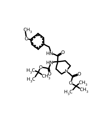 COc1ccc(CNC(=O)C2(NC(=O)OC(C)(C)C)CCN(C(=O)OC(C)(C)C)CC2)cc1